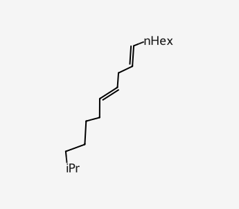 [CH2]C(C)CCCC/C=C/C/C=C/CCCCCC